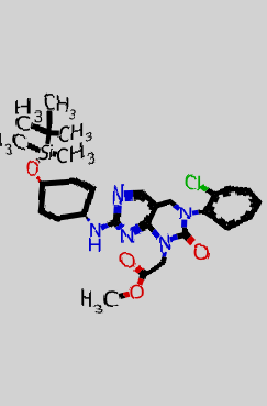 COC(=O)CN1C(=O)N(c2ccccc2Cl)Cc2cnc(N[C@H]3CC[C@H](O[Si](C)(C)C(C)(C)C)CC3)nc21